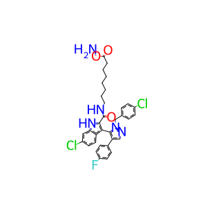 NOC(=O)CCCCCCCNC(=O)c1[nH]c2cc(Cl)ccc2c1-c1c(-c2ccc(F)cc2)cnn1Cc1ccc(Cl)cc1